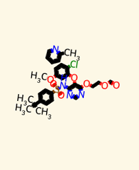 COc1ccc(Cl)c(Oc2c(NS(=O)(=O)c3ccc(C(C)(C)C)cc3)ncnc2OCCOC=O)c1.Cc1ccccn1